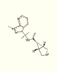 Cn1nc(C(C)(C)NC(=O)[C@H]2[C@@H]3CNC[C@@H]32)c2cccnc21